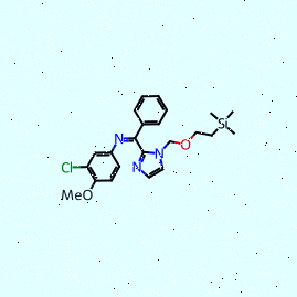 COc1ccc(N=C(c2ccccc2)c2nccn2COCC[Si](C)(C)C)cc1Cl